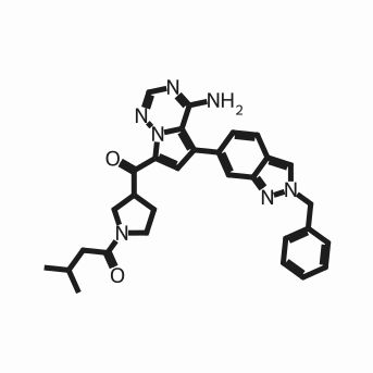 CC(C)CC(=O)N1CCC(C(=O)c2cc(-c3ccc4cn(Cc5ccccc5)nc4c3)c3c(N)ncnn23)C1